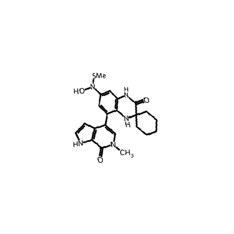 CSN(O)c1cc2c(c(-c3cn(C)c(=O)c4[nH]ccc34)c1)NC1(CCCCC1)C(=O)N2